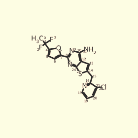 CC(F)(F)c1ccc(-c2nc(N)c3cc(Cc4ncccc4Cl)sc3n2)o1